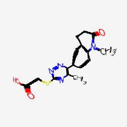 Cc1nc(SCC(=O)O)nnc1-c1ccc2c(c1)CCC(=O)N2C